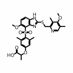 COc1ccc2[nH]c(SCc3ncc(C)c(OC)c3C)nc2c1S(=O)(=O)c1c(C)cc(OC(C)C(=O)O)cc1C